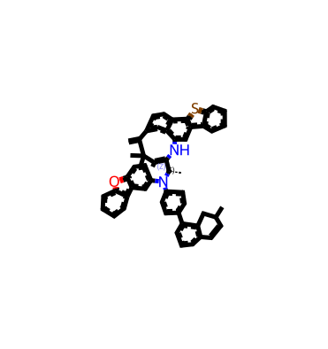 C=C1c2ccc3c(c2)c(cc2c4ccccc4sc32)N/C([C@H](C)N(c2ccc(-c3cccc4c3CC(C)C=C4)cc2)c2ccc3oc4ccccc4c3c2)=C(/C)C1(C)C